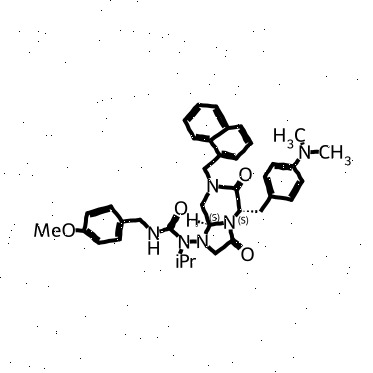 COc1ccc(CNC(=O)N(C(C)C)N2CC(=O)N3[C@@H](Cc4ccc(N(C)C)cc4)C(=O)N(Cc4cccc5ccccc45)C[C@@H]32)cc1